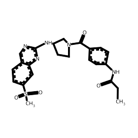 CCC(=O)Nc1ccc(C(=O)N2CC[C@@H](Nc3ncc4ccc(S(C)(=O)=O)cc4n3)C2)cc1